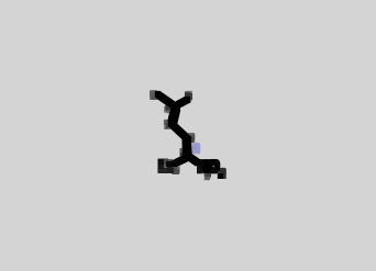 CC/C(=C\C=C(C)C)[N+](=O)[O-]